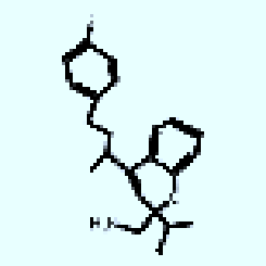 CC(CCc1ccc(Cl)cc1)C1=CC(CN)(C(C)C)Oc2ccccc21